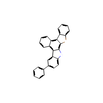 c1ccc(-c2ccc3[nH]c4c5sc6ccccc6c5c5ccccc5c4c3c2)cc1